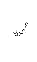 CCc1cc2c(cc1C)C(=O)/C(=C/c1cc3sc(-c4cccs4)nc3s1)C2=O